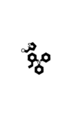 C=Cc1ccccc1N(c1ccccc1)c1ccccc1.O=Cc1cccs1